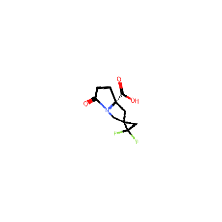 O=C1CC[C@@]2(C(=O)O)CC3(CN12)CC3(F)F